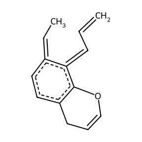 C=C/C=c1/c2c(cc/c1=C/C)CC=CO2